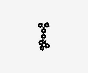 c1ccc(N(c2ccccc2)c2ccc(-c3ccc(-n4cc5c6c(cccc64)-c4ccccc4-c4ccccc4-5)cc3)cc2)cc1